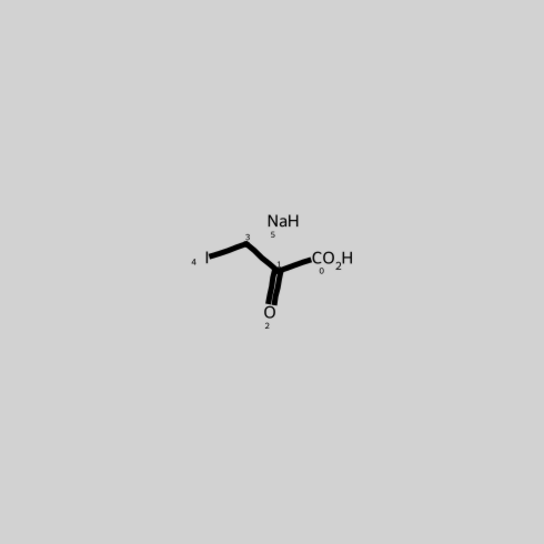 O=C(O)C(=O)CI.[NaH]